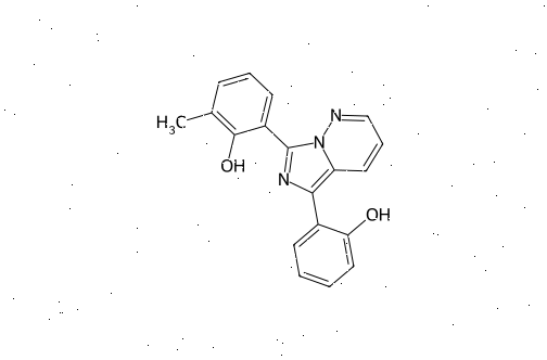 Cc1cccc(-c2nc(-c3ccccc3O)c3cccnn23)c1O